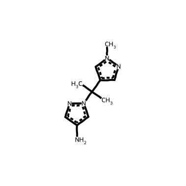 Cn1cc(C(C)(C)n2cc(N)cn2)cn1